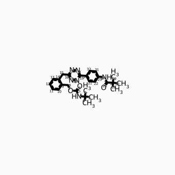 CC(C)(C)NC(=O)OCc1ccccc1Cc1nnc(-c2ccc(NC(=O)C(C)(C)C)cc2)nn1